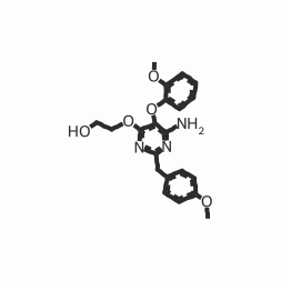 COc1ccc(Cc2nc(N)c(Oc3ccccc3OC)c(OCCO)n2)cc1